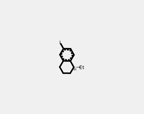 CC[C@@H]1CCCc2cc(I)ccc21